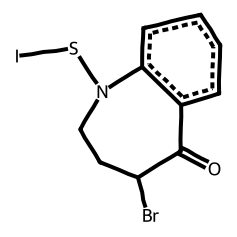 O=C1c2ccccc2N(SI)CCC1Br